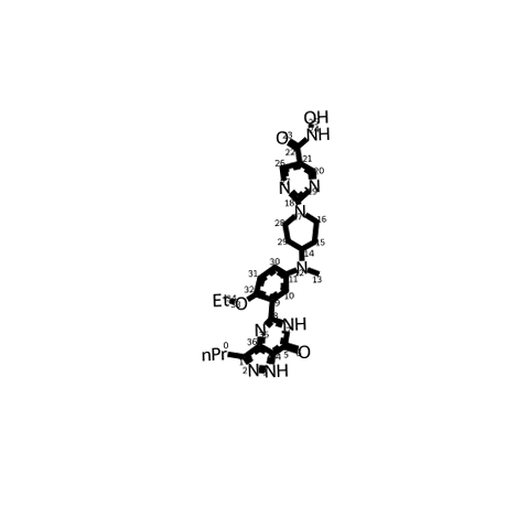 CCCc1n[nH]c2c(=O)[nH]c(-c3cc(N(C)C4CCN(c5ncc(C(=O)NO)cn5)CC4)ccc3OCC)nc12